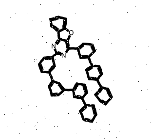 c1ccc(-c2ccc(-c3cccc(-c4nc(-c5cccc(-c6cccc(-c7cccc(-c8ccccc8)c7)c6)c5)nc5c4oc4ccccc45)c3)cc2)cc1